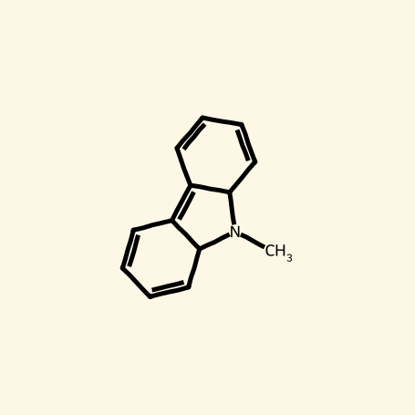 CN1C2C=CC=CC2=C2C=CC=CC21